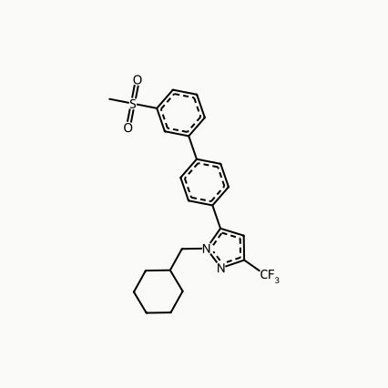 CS(=O)(=O)c1cccc(-c2ccc(-c3cc(C(F)(F)F)nn3CC3CCCCC3)cc2)c1